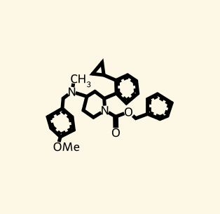 COc1ccc(CN(C)C2CCN(C(=O)OCc3ccccc3)C(c3ccccc3C3CC3)C2)cc1